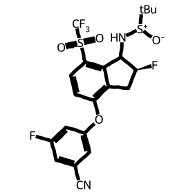 CC(C)(C)[S+]([O-])NC1c2c(S(=O)(=O)C(F)(F)F)ccc(Oc3cc(F)cc(C#N)c3)c2C[C@@H]1F